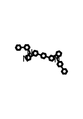 c1ccc(-c2ccc(-n3c4ccccc4c4cc(-c5ccc(-c6ccc7c(c6)c6ccncc6n7-c6cccc(-c7ccccc7)c6)cc5)ccc43)cc2)cc1